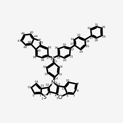 C1=c2sc3c4oc5ccccc5c4n(-c4ccc(N(c5ccc(-c6ccc(-c7ccccc7)cc6)cc5)c5ccc6c(c5)sc5ccccc56)cc4)c3c2=CC1